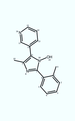 Cc1ccccc1-c1nc(C)c(-c2cccnc2)n1O